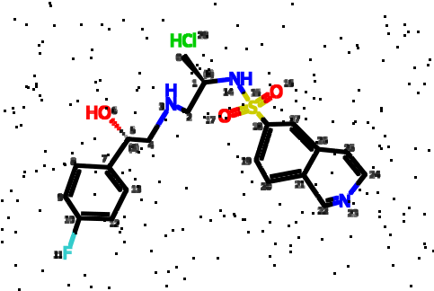 C[C@H](CNC[C@@H](O)c1ccc(F)cc1)NS(=O)(=O)c1ccc2cnccc2c1.Cl